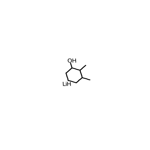 CC1CCCC(O)C1C.[LiH]